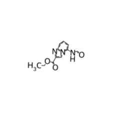 CCOC(=O)c1cn2c(NC=O)cccc2n1